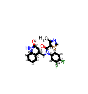 Cc1ncsc1C(=O)N(Cc1cc(=O)[nH]c2ccccc12)c1ccc(F)c(F)c1